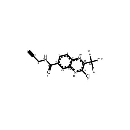 C#CCNC(=O)c1ccc2nc(C(F)(F)F)c(Cl)nc2c1